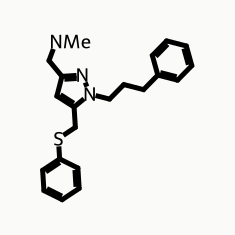 CNCc1cc(CSc2ccccc2)n(CCCc2ccccc2)n1